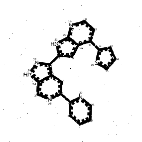 c1ccc(-c2cc3c(-c4cc5c(-c6cccs6)ccnc5[nH]4)n[nH]c3cn2)nc1